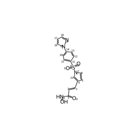 O=C(C=Cc1ccn(S(=O)(=O)c2ccc(-n3cccn3)cc2)c1)NO